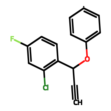 C#CC(Oc1cc[c]cc1)c1ccc(F)cc1Cl